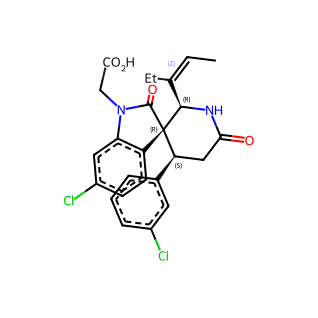 C/C=C(/CC)[C@H]1NC(=O)C[C@@H](c2cccc(Cl)c2)[C@]12C(=O)N(CC(=O)O)c1cc(Cl)ccc12